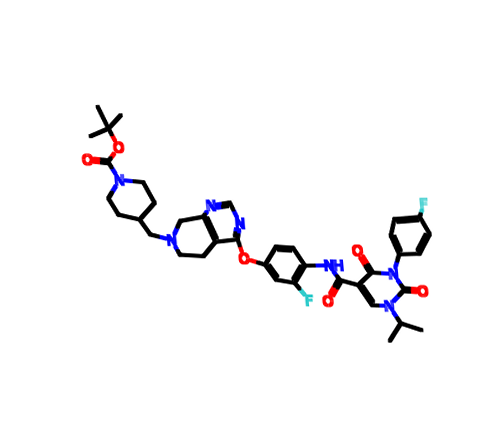 CC(C)n1cc(C(=O)Nc2ccc(Oc3ncnc4c3CCN(CC3CCN(C(=O)OC(C)(C)C)CC3)C4)cc2F)c(=O)n(-c2ccc(F)cc2)c1=O